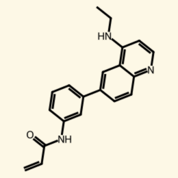 C=CC(=O)Nc1cccc(-c2ccc3nccc(NCC)c3c2)c1